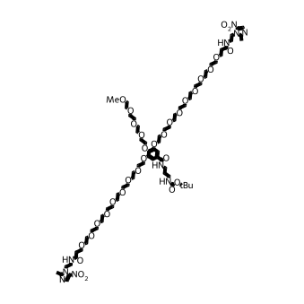 COCCOCCOCCOCCOc1c(OCCOCCOCCOCCOCCOCCOCCOCCOCCC(=O)NCCn2c([N+](=O)[O-])cnc2C)cc(C(=O)NCCCNC(=O)OC(C)(C)C)cc1OCCOCCOCCOCCOCCOCCOCCOCCOCCC(=O)NCCn1c([N+](=O)[O-])cnc1C